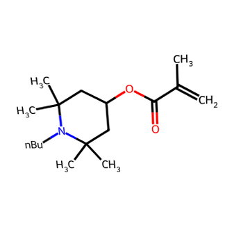 C=C(C)C(=O)OC1CC(C)(C)N(CCCC)C(C)(C)C1